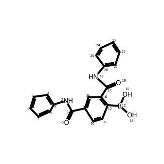 O=C(Nc1ccccc1)c1ccc(B(O)O)c(C(=O)Nc2ccccc2)c1